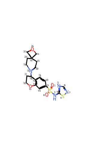 O=S(=O)(Nc1ncns1)c1ccc2c(c1)OCCC2N1CCC2(CC1)COC2